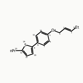 CC/C=C/COc1ccc(-c2ccc(CCC)s2)cc1